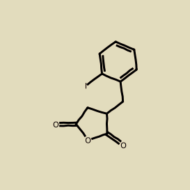 O=C1CC(Cc2ccccc2I)C(=O)O1